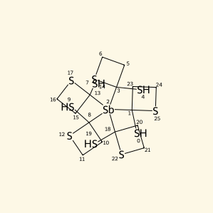 S[C]1([Sb]([C]2(S)CCS2)([C]2(S)CCS2)([C]2(S)CCS2)[C]2(S)CCS2)CCS1